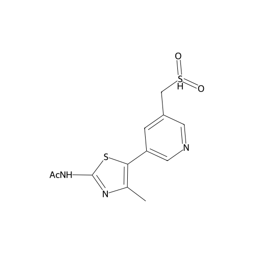 CC(=O)Nc1nc(C)c(-c2cncc(C[SH](=O)=O)c2)s1